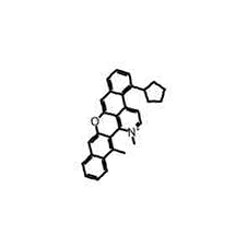 Cc1c2c(cc3ccccc13)Oc1cc3cccc(C4CCCC4)c3c3cc[n+](C)c-2c13